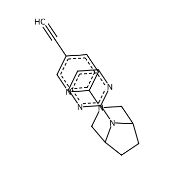 C#Cc1ccc(N2CC3CCC(C2)N3c2ncccn2)nc1